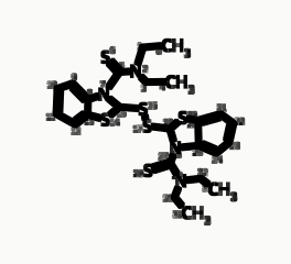 CCN(CC)C(=S)N1c2ccccc2SC1SSC1Sc2ccccc2N1C(=S)N(CC)CC